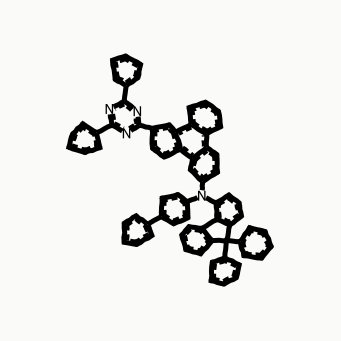 c1ccc(-c2ccc(N(c3ccc4c5ccccc5c5cc(-c6nc(-c7ccccc7)nc(-c7ccccc7)n6)ccc5c4c3)c3cccc4c3-c3ccccc3C4(c3ccccc3)c3ccccc3)cc2)cc1